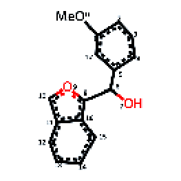 COc1cccc(C(O)c2occ3ccccc23)c1